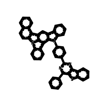 c1ccc(-c2nc(-c3ccc(-n4c5ccccc5c5cc6c7c8ccccc8ccc7n7c8ccccc8c(c54)c67)cc3)nc3c2sc2ccccc23)cc1